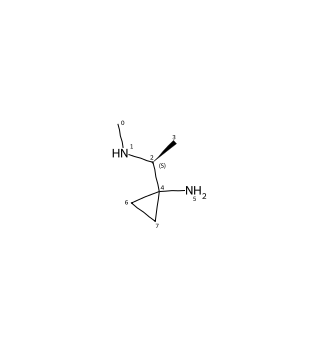 CN[C@@H](C)C1(N)CC1